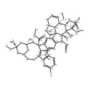 CC[C@]1(O)C[C@@H]2CN(CCc3c([nH]c4ccc(I)cc34)[C@@](C(=O)OC)(c3cc4c(cc3OC)N(C=O)[C@H]3[C@@](O)(C(=O)OC)[C@H](OC(C)=O)[C@]5(CC)C=CCN6CC[C@]43[C@@H]65)C2)C1